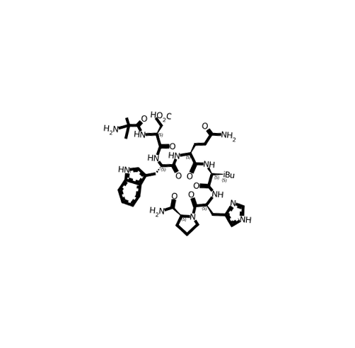 CC[C@H](C)[C@H](NC(=O)[C@H](CCC(N)=O)NC(=O)[C@H](Cc1c[nH]c2ccccc12)NC(=O)[C@H](CC(=O)O)NC(=O)C(C)(C)N)C(=O)N[C@@H](Cc1c[nH]cn1)C(=O)N1CCC[C@H]1C(N)=O